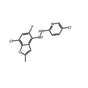 Cc1cc2c(NNc3ccc(Cl)cn3)c(F)cc(Cl)c2o1